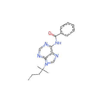 CCCC(C)(C)n1cnc2c(NC(=O)c3ccccc3)ncnc21